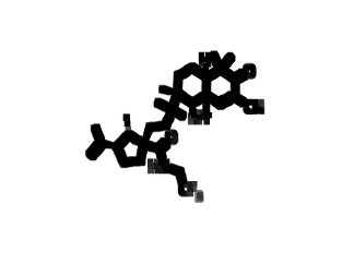 C=C(C)[C@@H]1CC[C@@](CCC(C)(C)[C@]2(C)CC[C@H]3C(C)(C)C(=O)C(C#N)=C[C@]3(C)[C@H]2CCC)(C(=O)NCC(F)(F)F)[C@H]1C